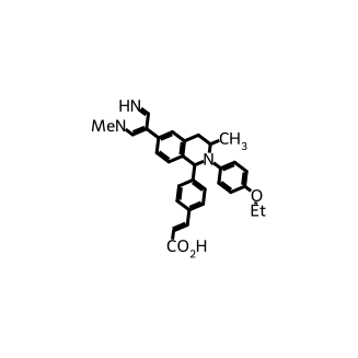 CCOc1ccc(N2C(C)Cc3cc(/C(C=N)=C/NC)ccc3C2c2ccc(/C=C/C(=O)O)cc2)cc1